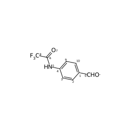 O=[C]c1ccc(NC(=O)C(F)(F)F)cc1